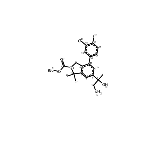 CC(C)(C)OC(=O)N1Cc2c(cc(C(C)(O)CN)nc2-c2ccc(F)c(Cl)c2)C1(C)C